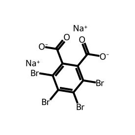 O=C([O-])c1c(Br)c(Br)c(Br)c(Br)c1C(=O)[O-].[Na+].[Na+]